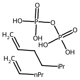 C=CCCC.C=CCCC(C)C.O=P(O)(O)OP(=O)(O)O